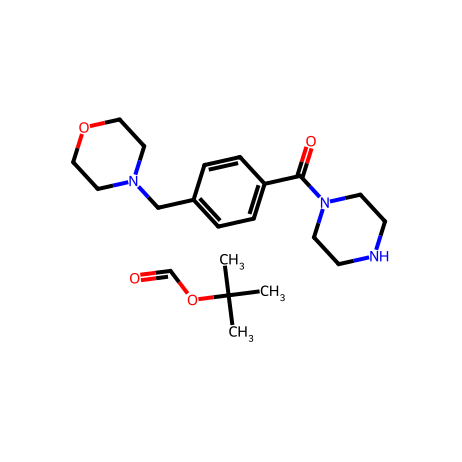 CC(C)(C)OC=O.O=C(c1ccc(CN2CCOCC2)cc1)N1CCNCC1